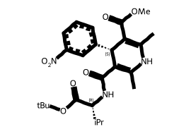 COC(=O)C1=C(C)NC(C)=C(C(=O)N[C@@H](C(=O)OC(C)(C)C)C(C)C)[C@@H]1c1cccc([N+](=O)[O-])c1